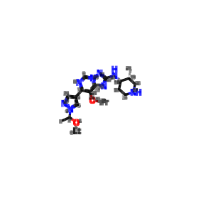 CCOC(C)n1cc(-c2ncn3nc(N[C@H]4CCNC[C@H]4C)nc3c2OC(C)C)cn1